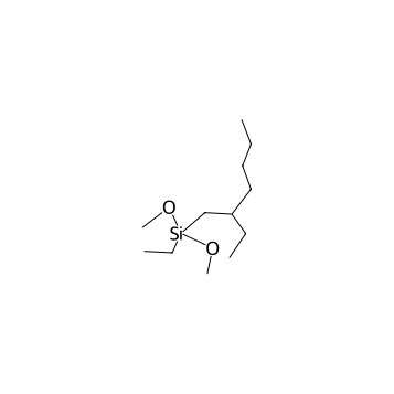 CCCCC(CC)C[Si](CC)(OC)OC